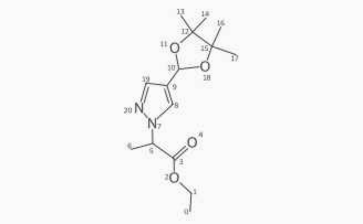 CCOC(=O)C(C)n1cc(C2OC(C)(C)C(C)(C)O2)cn1